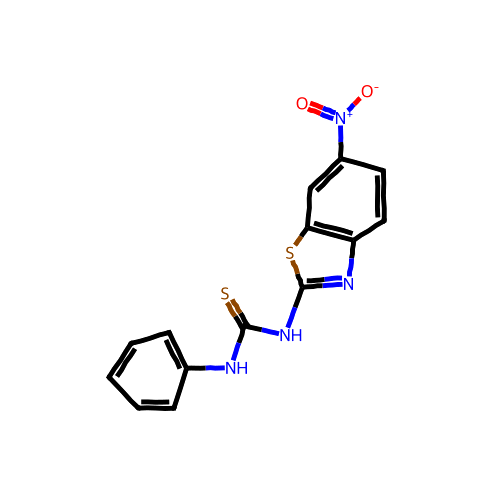 O=[N+]([O-])c1ccc2nc(NC(=S)Nc3ccccc3)sc2c1